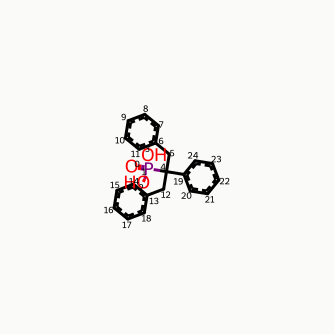 O=P(O)(O)C(Cc1ccccc1)(Cc1ccccc1)c1ccccc1